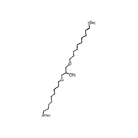 CCCCCCCCCCCCCCCCCCCCOCC(O)COCCCCCCCCCCCCCCCCCCC